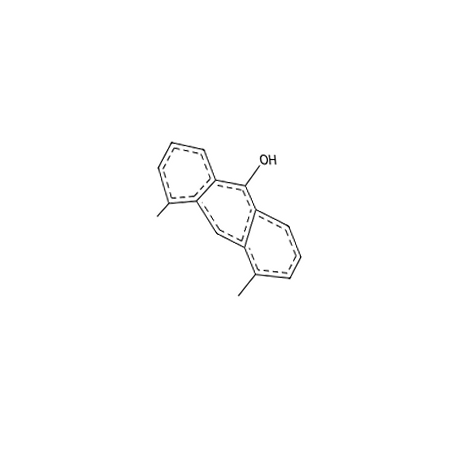 Cc1cccc2c(O)c3cccc(C)c3cc12